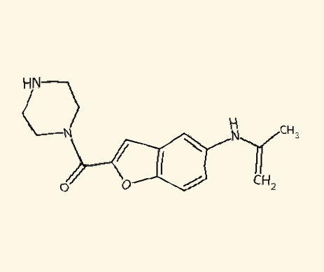 C=C(C)Nc1ccc2oc(C(=O)N3CCNCC3)cc2c1